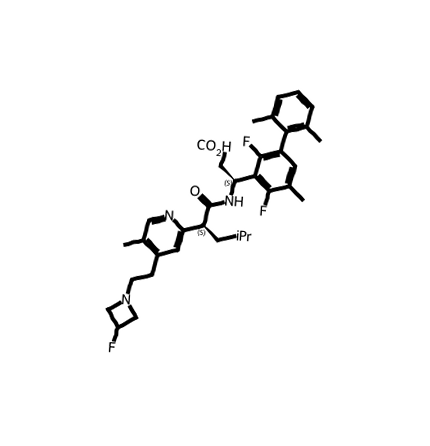 Cc1cnc([C@H](CC(C)C)C(=O)N[C@@H](CC(=O)O)c2c(F)c(C)cc(-c3c(C)cccc3C)c2F)cc1CCN1CC(F)C1